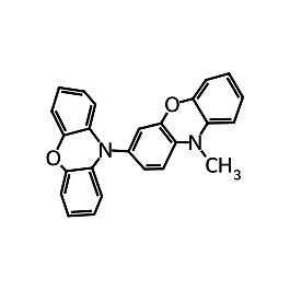 CN1c2ccccc2Oc2cc(N3c4ccccc4Oc4ccccc43)ccc21